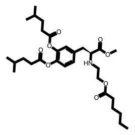 CCCCCC(=O)OCCN[C@@H](Cc1ccc(OC(=O)CCC(C)C)c(OC(=O)CCC(C)C)c1)C(=O)OC